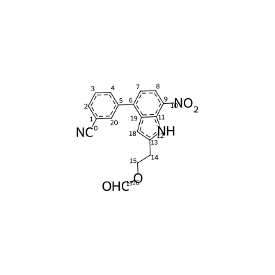 N#Cc1cccc(-c2ccc([N+](=O)[O-])c3[nH]c(CCOC=O)cc23)c1